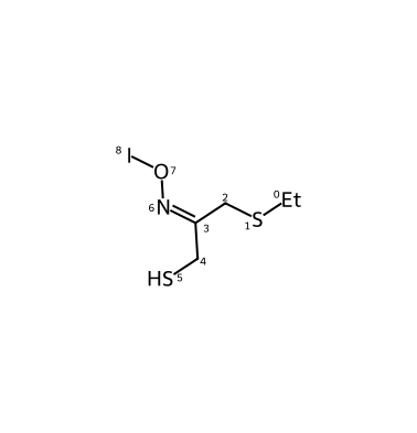 CCSC/C(CS)=N\OI